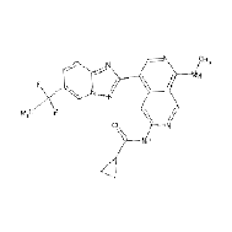 CNc1ncc(-c2nc3ccc(C(C)(F)F)cn3n2)c2cc(NC(=O)C3CC3)ncc12